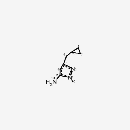 Cn1nc(CC2CC2)cc1N